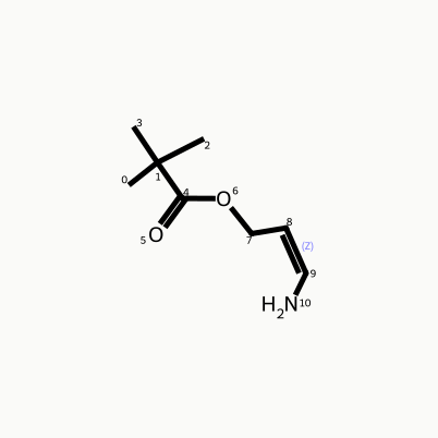 CC(C)(C)C(=O)OC/C=C\N